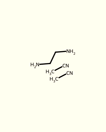 CC#N.CC#N.NCCN